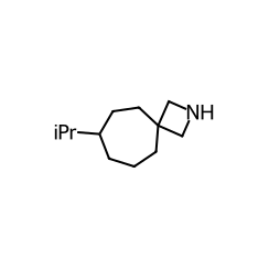 CC(C)C1CCCC2(CC1)CNC2